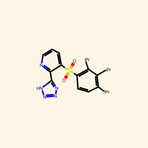 CC(C)c1ccc(S(=O)(=O)c2cccnc2-c2nnn[nH]2)c(C(C)C)c1C(C)C